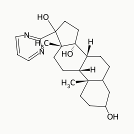 C[C@]12CCC(O)CC1CC[C@@H]1[C@H]2CC[C@]2(C)C(O)(c3ncccn3)CC[C@@]12O